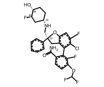 NC(=O)c1ccc(OC(F)F)c(F)c1-c1c(Cl)c(F)cc2c1C[C@@](CN[C@H]1CC[C@@H](O)[C@H](F)C1)(c1ccccc1)O2